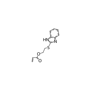 C=CC(=O)OCCSc1nc2ccccc2[nH]1